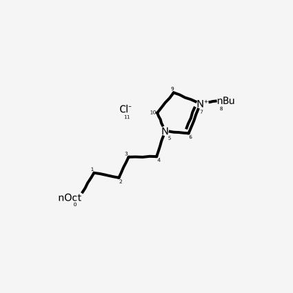 CCCCCCCCCCCCN1C=[N+](CCCC)CC1.[Cl-]